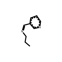 CCC/N=C\c1cccnc1